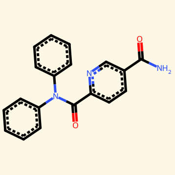 NC(=O)c1ccc(C(=O)N(c2ccccc2)c2ccccc2)nc1